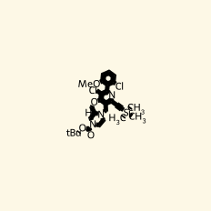 COc1cccc(Cl)c1-c1nc(C#C[Si](C)(C)C)c2c(c1Cl)OC[C@H]1CN(C(=O)OC(C)(C)C)CCN1C2